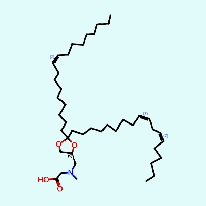 CCCCC/C=C\C/C=C\CCCCCCCCC1(CCCCCCCC/C=C\CCCCCCCC)OC[C@H](CN(C)CC(=O)O)O1